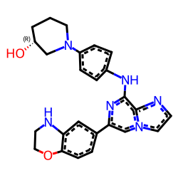 O[C@@H]1CCCN(c2ccc(Nc3nc(-c4ccc5c(c4)NCCO5)cn4ccnc34)cc2)C1